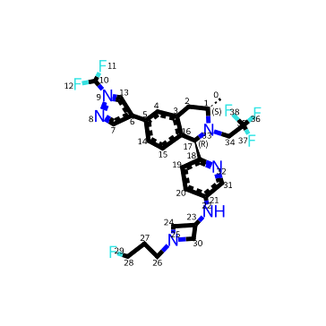 C[C@H]1Cc2cc(-c3cnn(C(F)F)c3)ccc2[C@H](c2ccc(NC3CN(CCCF)C3)cn2)N1CC(F)(F)F